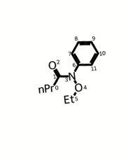 CCCC(=O)N(OCC)c1ccccc1